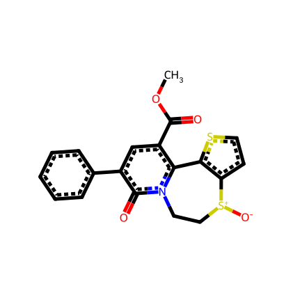 COC(=O)c1cc(-c2ccccc2)c(=O)n2c1-c1sccc1[S+]([O-])CC2